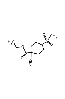 CCOC(=O)C1(C#N)CCC(S(C)(=O)=O)CC1